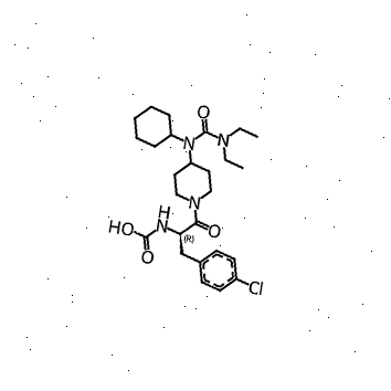 CCN(CC)C(=O)N(C1CCCCC1)C1CCN(C(=O)[C@@H](Cc2ccc(Cl)cc2)NC(=O)O)CC1